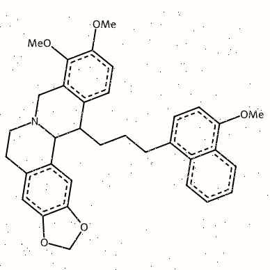 COc1ccc2c(c1OC)CN1CCc3cc4c(cc3C1C2CCCc1ccc(OC)c2ccccc12)OCO4